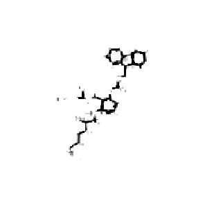 CCCCCC(=O)OCc1c(NC(=O)OCC2c3ccccc3-c3ccccc32)cccc1NC(=O)C(N)CCCCN